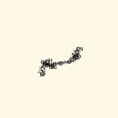 Cc1ncsc1-c1ccc(CNC(=O)[C@@H]2CCCN2C(=O)C(NC(=O)COCCCOCCCCCOc2ccc(N3C(=S)N(c4ccc(C#N)cc4)C(=O)C3(C)C)cc2)C(C)(C)C)cc1